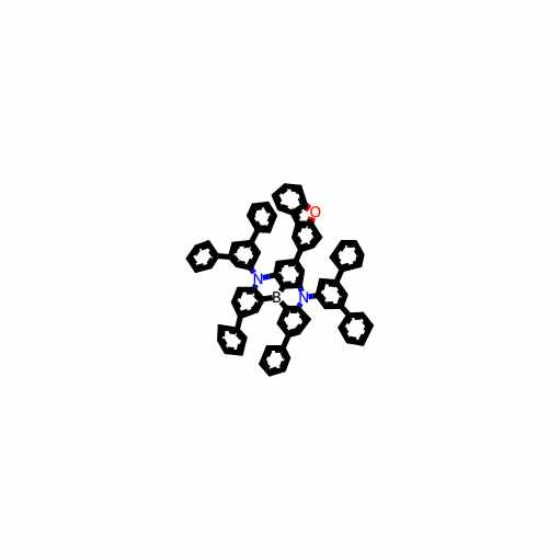 c1ccc(-c2cc(-c3ccccc3)cc(N3c4ccc(-c5ccccc5)cc4B4c5cc(-c6ccccc6)ccc5N(c5cc(-c6ccccc6)cc(-c6ccccc6)c5)c5cc(-c6ccc7oc8ccccc8c7c6)cc3c54)c2)cc1